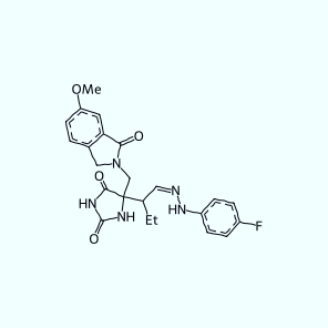 CCC(/C=N\Nc1ccc(F)cc1)C1(CN2Cc3ccc(OC)cc3C2=O)NC(=O)NC1=O